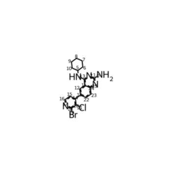 Nc1nc(NC2CCCCC2)c2cc(-c3ccnc(Br)c3Cl)ccc2n1